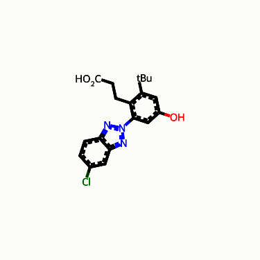 CC(C)(C)c1cc(O)cc(-n2nc3ccc(Cl)cc3n2)c1CCC(=O)O